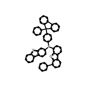 c1ccc(-c2cccc3c2oc2c(N(c4ccc(C5(c6ccccc6)c6ccccc6-c6ccccc65)cc4)c4ccc5c(c4)sc4ccccc45)cccc23)cc1